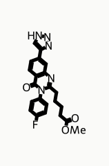 COC(=O)CCCCc1nc2cc(-c3c[nH]nn3)ccc2c(=O)n1-c1ccc(F)cc1